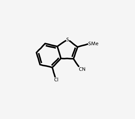 CSc1sc2cccc(Cl)c2c1C#N